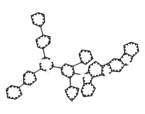 c1ccc(-c2ccc(-c3nc(-c4ccc(-c5ccccc5)cc4)nc(-c4cc(-c5ccccc5)c(-n5c6ccccc6c6c7oc8cc9oc%10ccccc%10c9cc8c7ccc65)c(-c5ccccc5)c4)n3)cc2)cc1